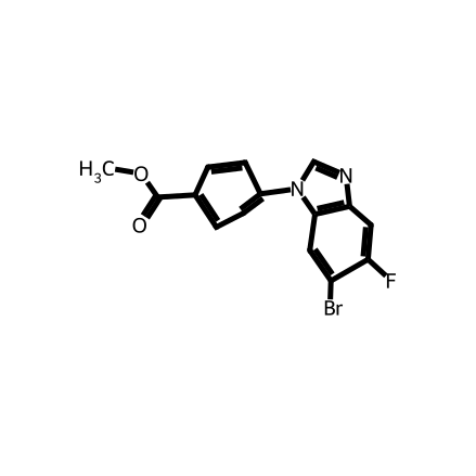 COC(=O)c1ccc(-n2cnc3cc(F)c(Br)cc32)cc1